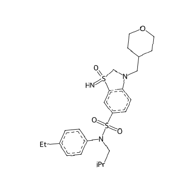 CCc1ccc(N(CC(C)C)S(=O)(=O)c2ccc3c(c2)S(=N)(=O)CN3CC2CCOCC2)cc1